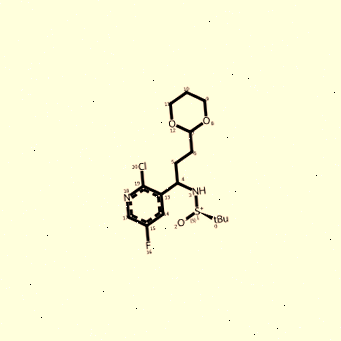 CC(C)(C)[S@@+]([O-])NC(CCC1OCCCO1)c1cc(F)cnc1Cl